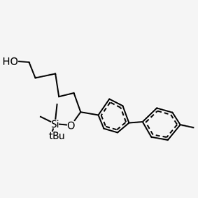 Cc1ccc(-c2ccc(C(CCCCCO)O[Si](C)(C)C(C)(C)C)cc2)cc1